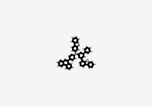 C1=CC(N(C2=CC(c3cccc4c3oc3ccccc34)=CC(c3ccccc3)C2)c2ccc3c(c2)sc2ccccc23)CC=C1c1cc2ccccc2c2ccccc12